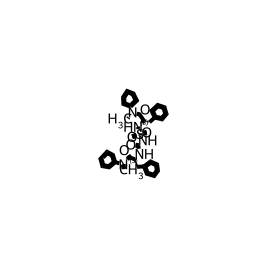 CN(C(=O)[C@H](Cc1ccccc1)NC(=O)NS(=O)(=O)N[C@@H](Cc1ccccc1)C(=O)N(C)c1ccccc1)c1ccccc1